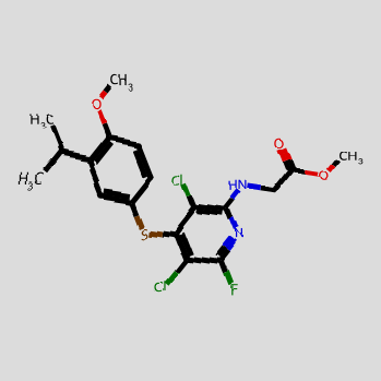 COC(=O)CNc1nc(F)c(Cl)c(Sc2ccc(OC)c(C(C)C)c2)c1Cl